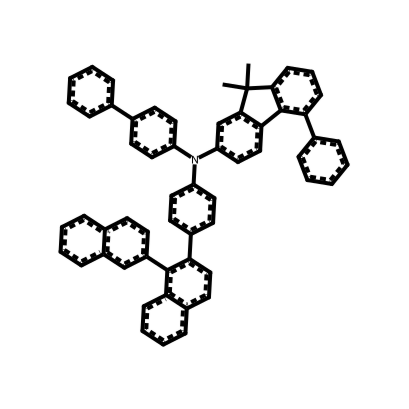 CC1(C)c2cc(N(c3ccc(-c4ccccc4)cc3)c3ccc(-c4ccc5ccccc5c4-c4ccc5ccccc5c4)cc3)ccc2-c2c(-c3ccccc3)cccc21